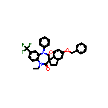 CCN1C(=O)C2(CCc3cc(OCc4ccccc4)ccc32)C(=O)N(c2ccccc2)c2cc(C(F)(F)F)ccc21